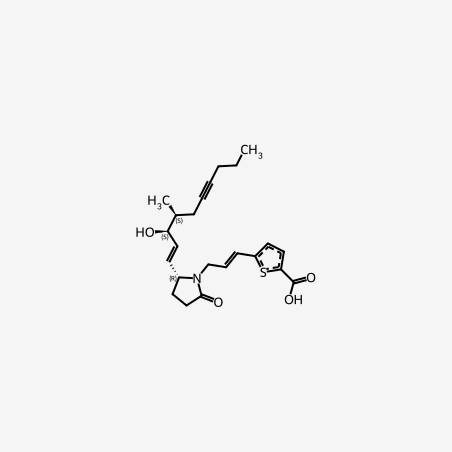 CCCC#CC[C@H](C)[C@H](O)C=C[C@H]1CCC(=O)N1CC=Cc1ccc(C(=O)O)s1